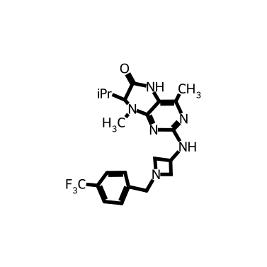 Cc1nc(NC2CN(Cc3ccc(C(F)(F)F)cc3)C2)nc2c1NC(=O)C(C(C)C)N2C